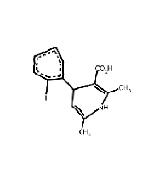 CC1=CC(c2ccccc2I)C(C(=O)O)=C(C)N1